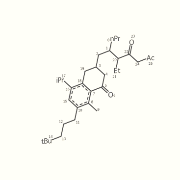 CCCC(CC1CC(=O)c2c(C)c(CCCC(C)(C)C)cc(C(C)C)c2C1)C(CC)C(=O)CC(C)=O